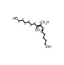 O=C(O)/C(CCCCCCO)=C(\CCCCCCO)C(=O)O